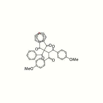 COc1ccc(C(=O)C(C(=O)c2ccc(OC)cc2)C(C(=O)c2ccccc2)(C(=O)c2ccccc2)C(=O)c2ccccc2)cc1